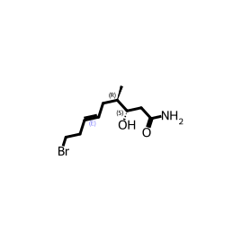 C[C@H](C/C=C/CCBr)[C@@H](O)CC(N)=O